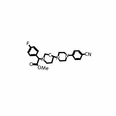 COC(=O)C(c1ccc(F)cc1)N1CCC(N2CCN(c3ccc(C#N)cc3)CC2)CC1